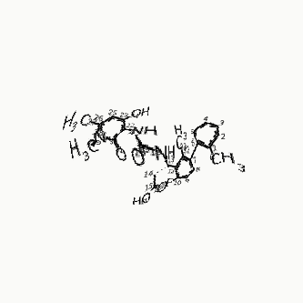 Cc1ccccc1-c1ccc(F)c([C@H](CC(=O)O)NC(=O)Nc2c(O)cc(C)n(C)c2=O)c1C